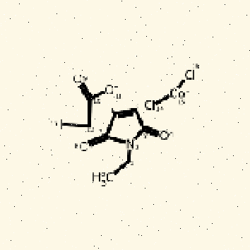 CCN1C(=O)C=CC1=O.O=C([O-])CI.[Cl][Co+][Cl]